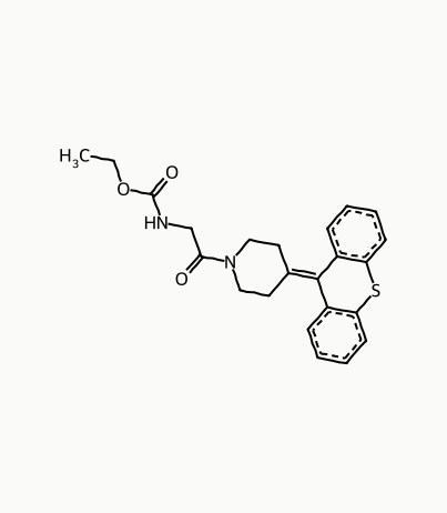 CCOC(=O)NCC(=O)N1CCC(=C2c3ccccc3Sc3ccccc32)CC1